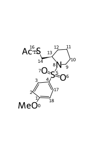 COc1ccc(S(=O)(=O)N2CCCC[C@@H]2CSC(C)=O)cc1